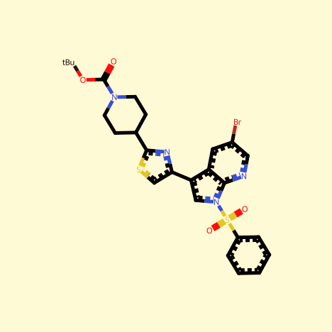 CC(C)(C)OC(=O)N1CCC(c2nc(-c3cn(S(=O)(=O)c4ccccc4)c4ncc(Br)cc34)cs2)CC1